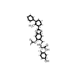 Cc1c(-c2ccccc2)cccc1-c1nc2cc(CN[C@@H](Cc3ccc(O)cc3)C(=O)O)c(OC(F)F)cc2o1